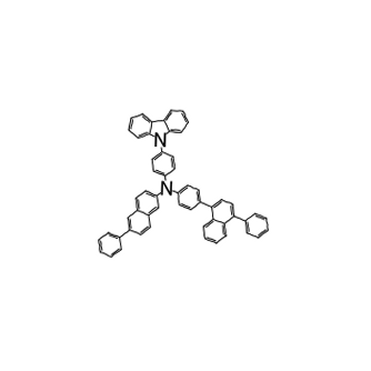 c1ccc(-c2ccc3cc(N(c4ccc(-c5ccc(-c6ccccc6)c6ccccc56)cc4)c4ccc(-n5c6ccccc6c6ccccc65)cc4)ccc3c2)cc1